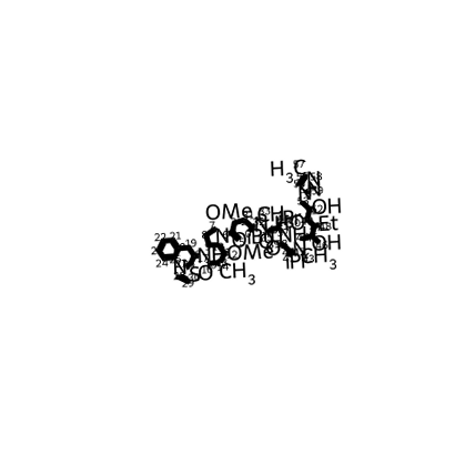 CCC(C)C(C(CC(=O)N1CCCC1C(OC)C(C)C(=O)NC(Cc1ccccc1)c1nccs1)OC)N(C)C(=O)C(NC(=O)C(C(C)C)N(C)CC(O)C(CC)C(O)C(O)Cn1cc(C)nn1)C(C)C